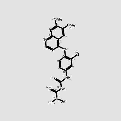 COc1cc2nccc(Oc3ccc(NC(=S)NC(=O)N(C(C)C)C(C)C)cc3Cl)c2cc1OC